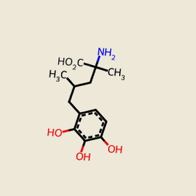 CC(Cc1ccc(O)c(O)c1O)CC(C)(N)C(=O)O